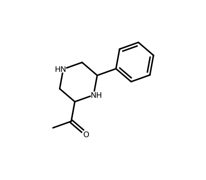 CC(=O)C1CNCC(c2ccccc2)N1